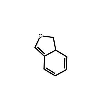 [C]1OC=C2C=CC=CC12